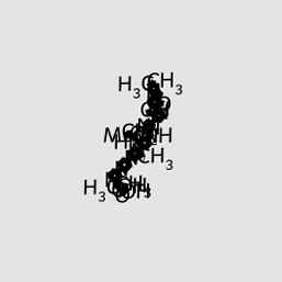 C=CC(=O)Nc1cc(Nc2nc(-c3ccnc(N4CCn5c(cc6c5CC(C)(C)C6)C4=O)c3CO)cnc2OC)ccc1N1CCN(C2CCN(c3ccnc(C(C)(C)OP(=O)(O)O)c3)CC2)C[C@@H]1C